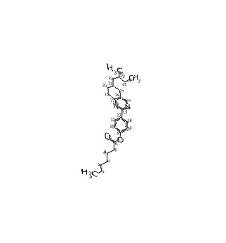 CCCCCCC(=O)Oc1ccc(-c2ncc3c(n2)CCC(CC(C)CC)C3)cc1